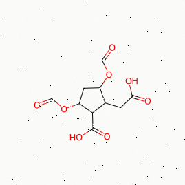 O=COC1CC(OC=O)C(C(=O)O)C1CC(=O)O